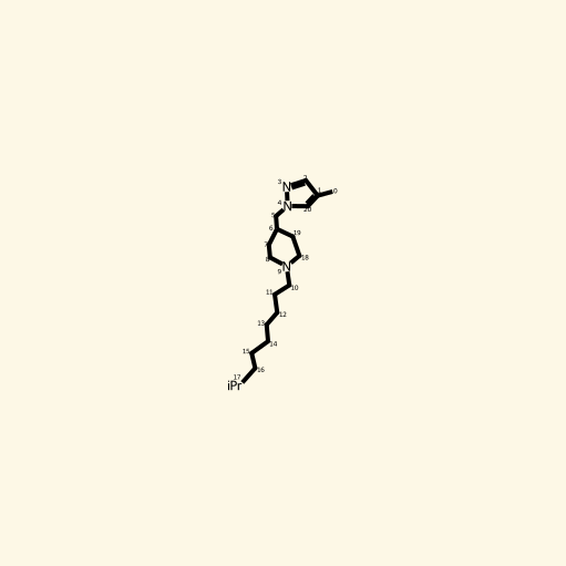 Cc1cnn(CC2CCN(CCCCCCCC(C)C)CC2)c1